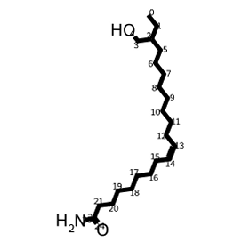 CCC(CO)CCCCCCCC/C=C\CCCCCCCC(N)=O